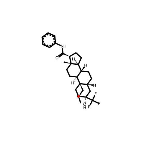 COC[C@]12CC[C@](O)(C(F)(F)F)C[C@H]1CC[C@H]1[C@@H]3CC[C@H](C(=O)Nc4ccccc4)[C@@]3(C)CC[C@@H]12